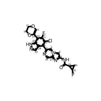 O=C(Nc1cn2cc(-c3c(Cl)c(F)c(C4=COCCO4)c4[nH]ncc34)ncc2n1)C1CC1F